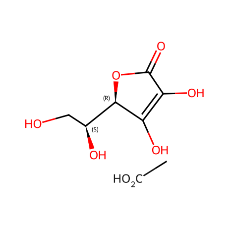 CC(=O)O.O=C1O[C@H]([C@@H](O)CO)C(O)=C1O